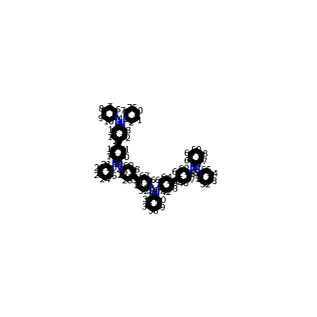 C1CCC(N(C2CCCCC2)C2CCC(C3CCC(N(C4CCCCC4)C4CCC(C5CCC(N(C6CCCCC6)C6CCC(C7CCC(N(C8CCCCC8)C8CCCCC8)CC7)CC6)CC5)CC4)CC3)CC2)CC1